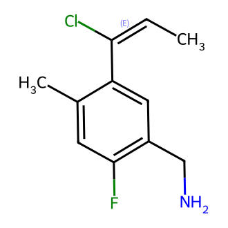 C/C=C(/Cl)c1cc(CN)c(F)cc1C